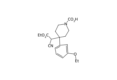 CCOC(=O)C(C#N)C1(c2cccc(OCC)c2)CCN(C(=O)O)CC1